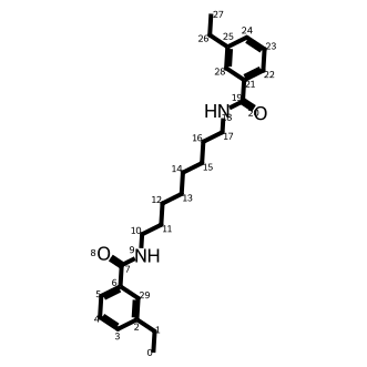 CCc1cccc(C(=O)NCCCCCCCCNC(=O)c2cccc(CC)c2)c1